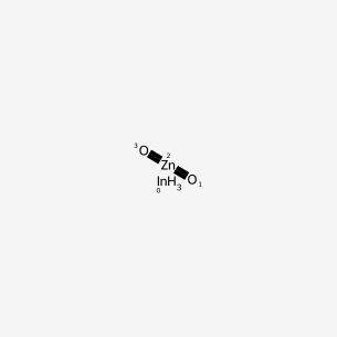 [InH3].[O]=[Zn]=[O]